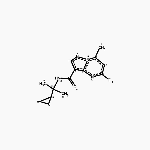 Cc1cc(F)nc2c(C(=O)NC(C)(C)C3CC3)cnn12